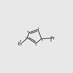 CCC1=CC(C(C)C)C=C1